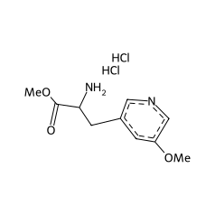 COC(=O)C(N)Cc1cncc(OC)c1.Cl.Cl